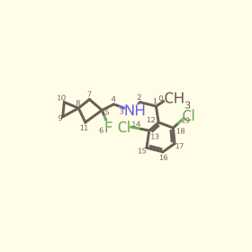 CC(CNCC1(F)CC2(CC2)C1)c1c(Cl)cccc1Cl